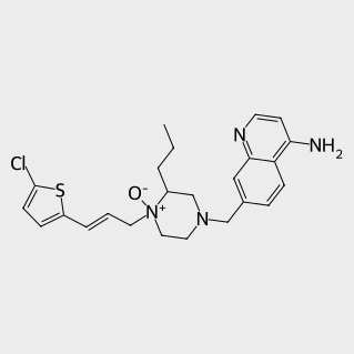 CCCC1CN(Cc2ccc3c(N)ccnc3c2)CC[N+]1([O-])CC=Cc1ccc(Cl)s1